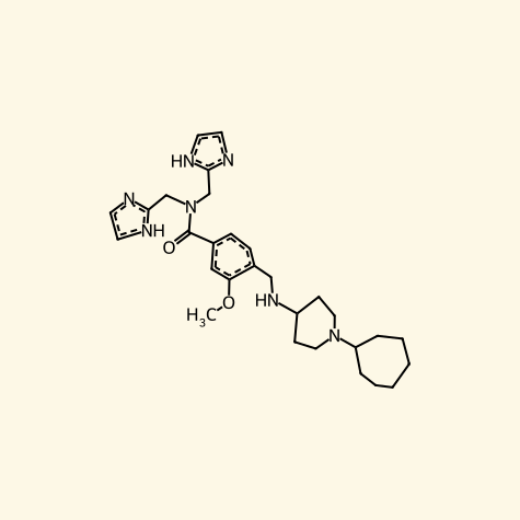 COc1cc(C(=O)N(Cc2ncc[nH]2)Cc2ncc[nH]2)ccc1CNC1CCN(C2CCCCCC2)CC1